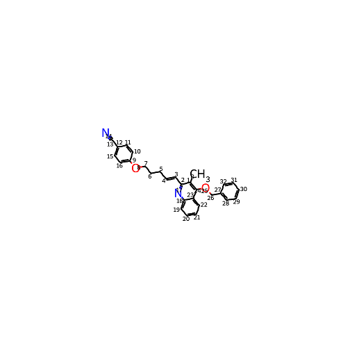 Cc1c(/C=C/CCCOc2ccc(C#N)cc2)nc2ccccc2c1OCc1ccccc1